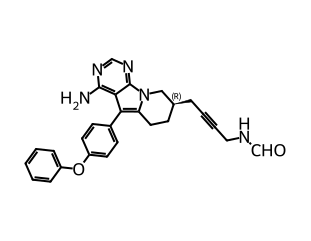 Nc1ncnc2c1c(-c1ccc(Oc3ccccc3)cc1)c1n2C[C@@H](CC#CCNC=O)CC1